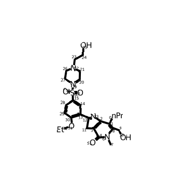 CCCc1c2c(c(=O)n(C)c1CO)CC(c1cc(S(=O)(=O)N3CCN(CCO)CC3)ccc1OCC)=N2